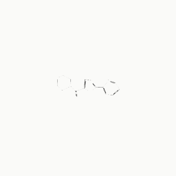 O=C(c1cnc(-c2ccccn2)s1)N1CCOCC1